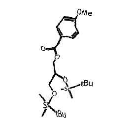 COc1ccc(C(=O)OCC(CO[Si](C)(C)C(C)(C)C)O[Si](C)(C)C(C)(C)C)cc1